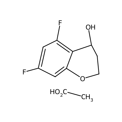 CC(=O)O.OC1CCOc2cc(F)cc(F)c21